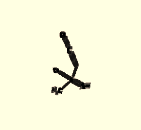 CS(=N)(=O)C=C=O